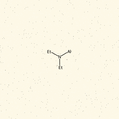 CC[N]([Al])CC